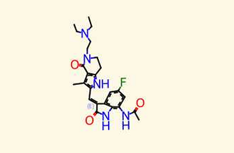 CCN(CC)CCN1CCc2[nH]c(/C=C3/C(=O)Nc4c(NC(C)=O)cc(F)cc43)c(C)c2C1=O